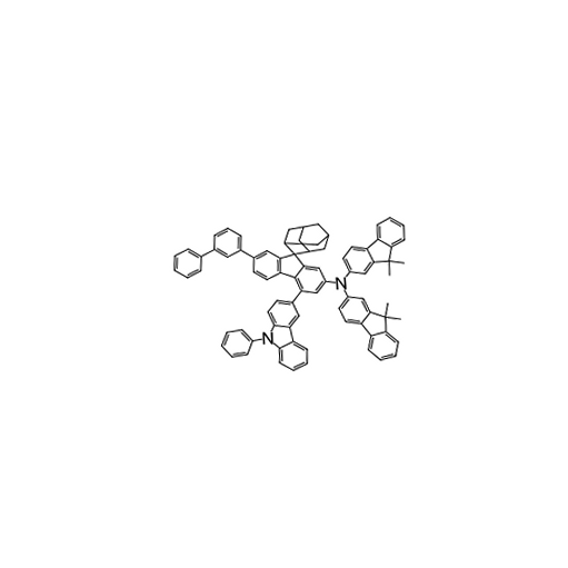 CC1(C)c2ccccc2-c2ccc(N(c3ccc4c(c3)C(C)(C)c3ccccc3-4)c3cc(-c4ccc5c(c4)c4ccccc4n5-c4ccccc4)c4c(c3)C3(c5cc(-c6cccc(-c7ccccc7)c6)ccc5-4)C4CC5CC(C4)CC3C5)cc21